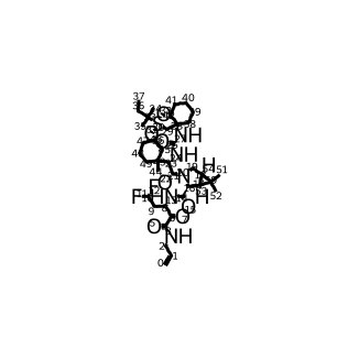 C=CCNC(=O)C(=O)C(CC(F)F)NC(=O)[C@@H]1[C@@H]2[C@H](CN1C(=O)[C@@H](NC(=O)NC1(CS(=O)(=O)C(C)(C)CC)CCCCC1)C1(C)CCCCC1)C2(C)C